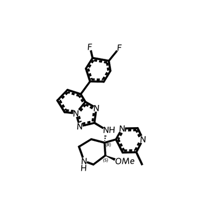 CO[C@H]1CNCC[C@@]1(Nc1nc2c(-c3ccc(F)c(F)c3)cccn2n1)c1cc(C)ncn1